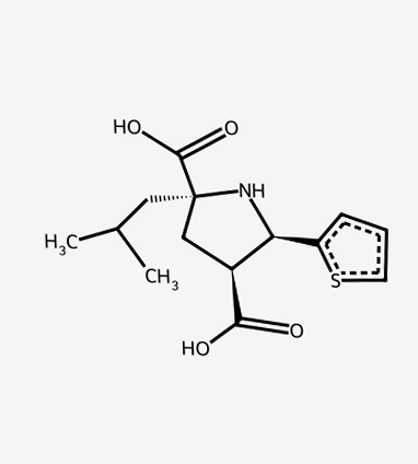 CC(C)C[C@@]1(C(=O)O)C[C@H](C(=O)O)[C@H](c2cccs2)N1